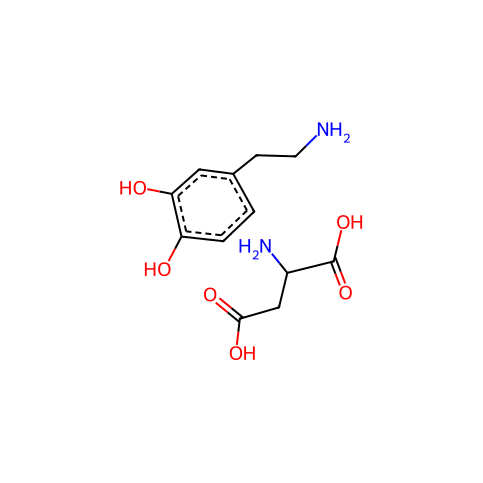 NC(CC(=O)O)C(=O)O.NCCc1ccc(O)c(O)c1